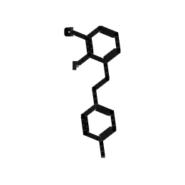 Cc1ccc(CCc2cccc(Cl)c2F)cc1